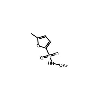 CC(=O)ONS(=O)(=O)c1ccc(C)o1